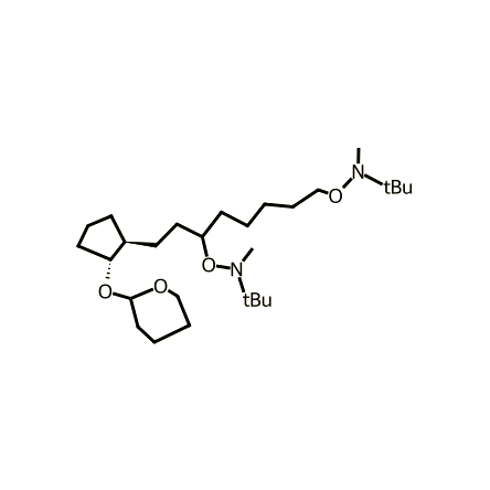 CN(OCCCCCC(CC[C@@H]1CCC[C@H]1OC1CCCCO1)ON(C)C(C)(C)C)C(C)(C)C